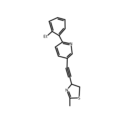 CCc1ccccc1-c1ccc(C#CC2CSC(C)=N2)cn1